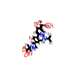 COc1cc2c(cc1-c1cnn(C(C)(C)C(=O)O)c1)CN(C(C)C)n1cc(C(=O)O)c(=O)cc1-2